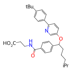 CC(C)CCCC(Oc1ccc(-c2ccc(C(C)(C)C)cc2)nc1)c1ccc(C(=O)NCCC(=O)O)cc1